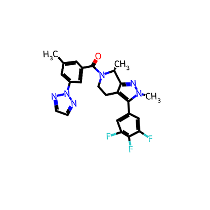 Cc1cc(C(=O)N2CCc3c(nn(C)c3-c3cc(F)c(F)c(F)c3)[C@@H]2C)cc(-n2nccn2)c1